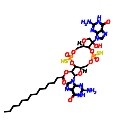 CCCCCCCCCCCCCC(=O)OC1C2OP(=O)(S)OC[C@H]3OCC(O)(n4cnc5c(=O)[nH]c(N)nc54)C3OP(=O)(S)OC[C@H]2O[C@H]1n1cnc2c(=O)[nH]c(N)nc21